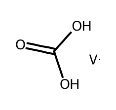 O=C(O)O.[V]